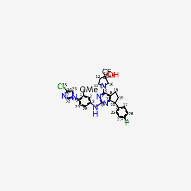 COc1cc(Nc2nc3c(c(N4CCC(O)(C(F)(F)F)C4)n2)CCC3c2ccc(F)cc2)ccc1-n1cnc(Cl)c1